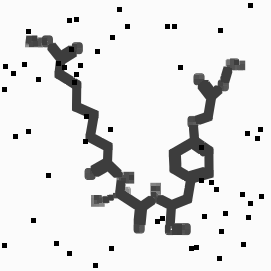 COC(=O)CCCCCCC(=O)N[C@H](C(=O)NC(C=O)Cc1ccc(OCC(=O)OC(C)(C)C)cc1)C(C)C